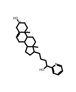 CC12CC[C@H](O)CC1=CCC1C2CCC2(C)C(CCCC(O)c3ccccn3)CCC12